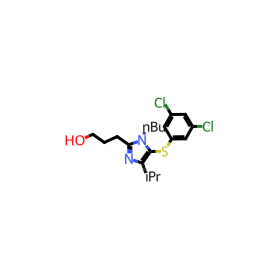 CCCCn1c(CCCO)nc(C(C)C)c1Sc1cc(Cl)cc(Cl)c1